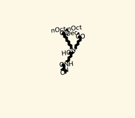 CCCCCCCCCCCOC(=O)CCCCCN(CCCCCCCC(=O)OC(CCCCCCCC)CCCCCCCC)CC(O)CCCCNC(=O)c1cocn1